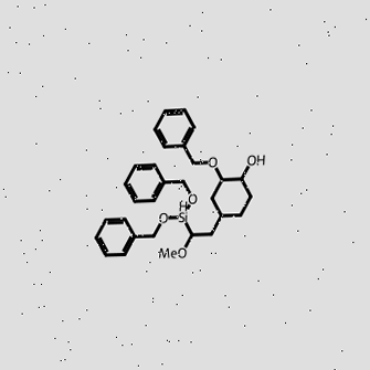 COC(CC1CCC(O)C(OCc2ccccc2)C1)[SiH](OCc1ccccc1)OCc1ccccc1